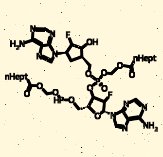 CCCCCCCC(=O)OCOPOC[C@H]1O[C@@H](n2cnc3c(N)ncnc32)C(F)C1OP(=O)(OCOC(=O)CCCCCCC)OC[C@H]1C[C@@H](n2cnc3c(N)ncnc32)C(F)C1O